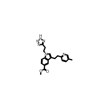 COC(=O)c1ccc2c(c1)c(CCc1ccc(C)cn1)cn2CCc1nn[nH]n1